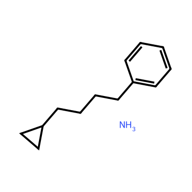 N.c1ccc(CCCCC2CC2)cc1